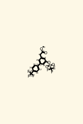 COC(=O)Cc1cc(OS(=O)(=O)C(F)(F)F)cc(-c2ccc(C(F)(F)F)cc2)c1